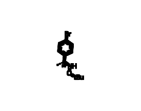 C[C@@H](NOC(C)(C)C)c1ccc(Br)cc1